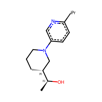 CC(C)c1ccc(N2CCC[C@@H]([C@H](C)O)C2)cn1